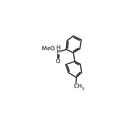 CO[PH](=O)c1ccccc1-c1ccc(C)cc1